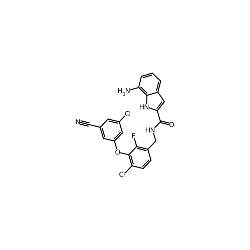 N#Cc1cc(Cl)cc(Oc2c(Cl)ccc(CNC(=O)c3cc4cccc(N)c4[nH]3)c2F)c1